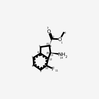 COC(=O)[C@H]1Cc2cccc(F)c2[C@@H]1N